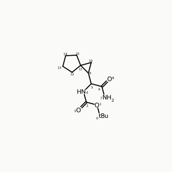 CC(C)(C)OC(=O)NC(C(N)=O)C1CC12CCCC2